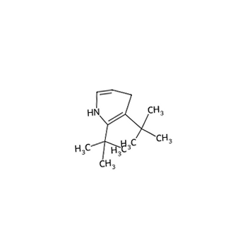 CC(C)(C)C1=C(C(C)(C)C)NC=CC1